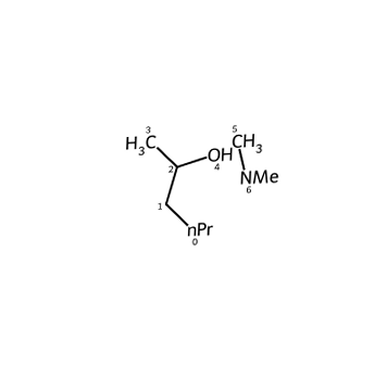 CCCCC(C)O.CNC